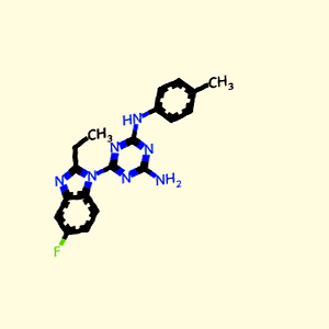 CCc1nc2cc(F)ccc2n1-c1nc(N)nc(Nc2ccc(C)cc2)n1